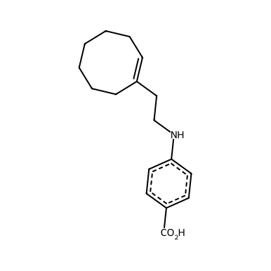 O=C(O)c1ccc(NCC/C2=C/CCCCCC2)cc1